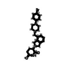 O=C1CCC(N2Cc3cccc(CN4CCN(c5ccc(Br)cc5)CC4)c3C2)C(=O)N1